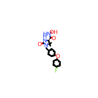 CC1(C)[C@H](C(=O)NO)NC(=O)N1Cc1ccc(Oc2ccc(F)cc2)cc1